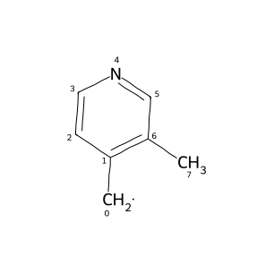 [CH2]c1ccncc1C